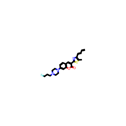 C=C/C=C/c1nc(-c2cc3ccc(N4CCN(CCCF)CC4)cc3oc2=O)sc1C